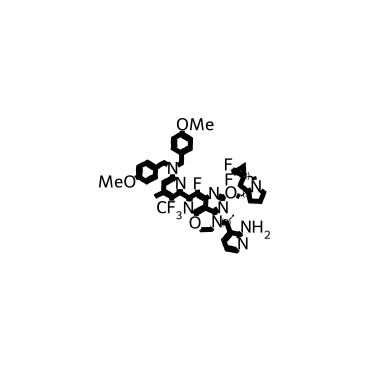 COc1ccc(CN(Cc2ccc(OC)cc2)c2cc(C)c(C(F)(F)F)c(-c3nc4c5c(nc(OC[C@@]67CCCN6C[C@]6(CC6(F)F)C7)nc5c3F)N([C@H](C)c3cccnc3N)CCO4)n2)cc1